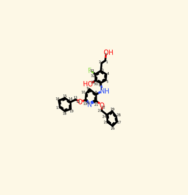 OCCc1ccc(Nc2ccc(OCc3ccccc3)nc2OCc2ccccc2)c(O)c1F